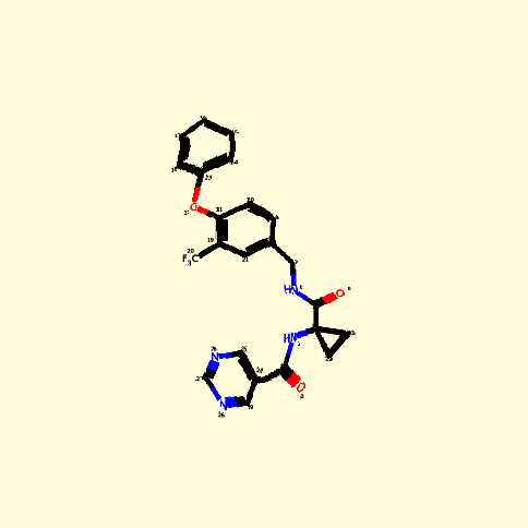 O=C(NC1(C(=O)NCc2ccc(Oc3ccccc3)c(C(F)(F)F)c2)CC1)c1cncnc1